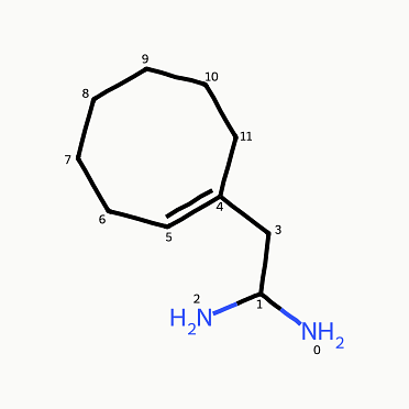 NC(N)CC1=CCCCCCC1